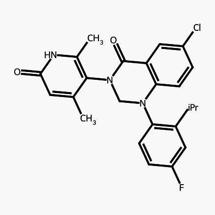 Cc1cc(=O)[nH]c(C)c1N1CN(c2ccc(F)cc2C(C)C)c2ccc(Cl)cc2C1=O